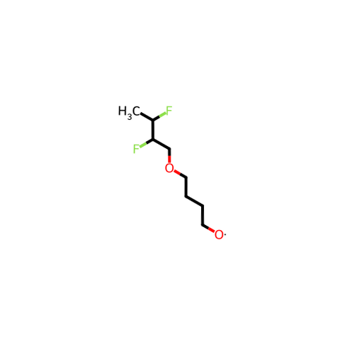 CC(F)C(F)COCCCC[O]